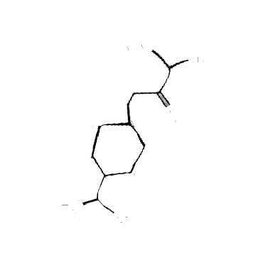 CC(C)C(=O)CC1CCC(C(C)C)CC1